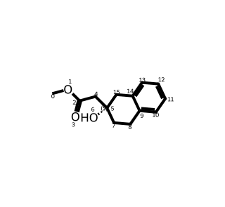 COC(=O)C[C@]1(O)CCc2ccccc2C1